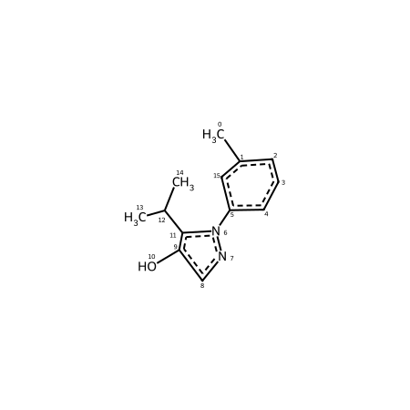 Cc1cccc(-n2ncc(O)c2C(C)C)c1